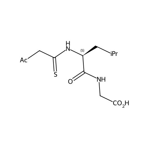 CC(=O)CC(=S)N[C@@H](CC(C)C)C(=O)NCC(=O)O